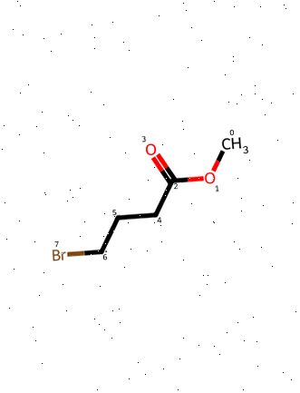 COC(=O)CC[CH]Br